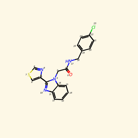 O=C(Cn1c(-c2cscn2)nc2ccccc21)NCc1ccc(Cl)cc1